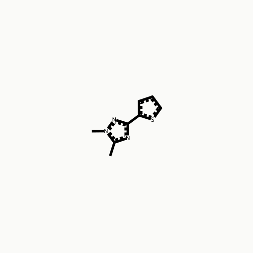 Cc1nc(-c2cccs2)nn1C